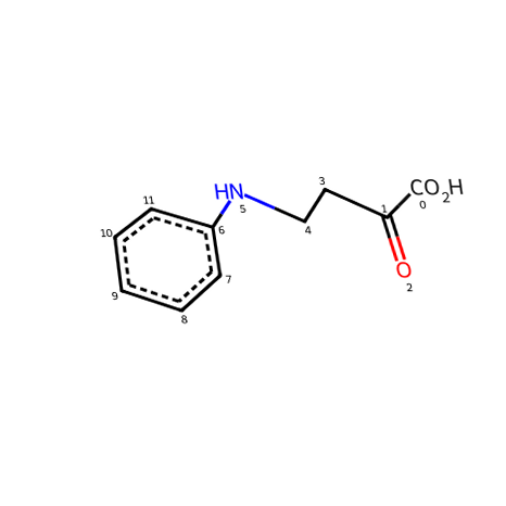 O=C(O)C(=O)CCNc1ccccc1